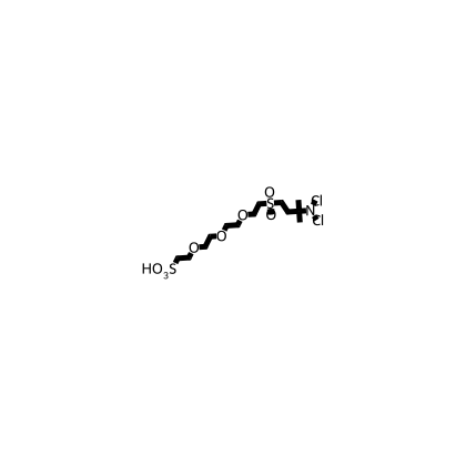 CC(C)(CCS(=O)(=O)CCOCCOCCOCCS(=O)(=O)O)N(Cl)Cl